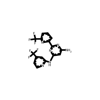 Nc1cc(Nc2cc(C(F)(F)F)ccn2)nc(-c2cccc(C(F)(F)F)n2)n1